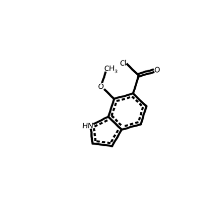 COc1c(C(=O)Cl)ccc2cc[nH]c12